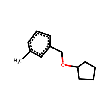 Cc1cccc(COC2CCCC2)c1